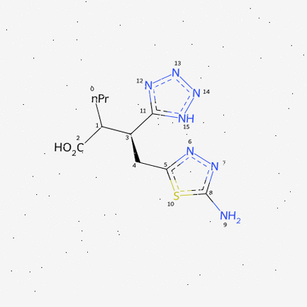 CCCC(C(=O)O)[C@H](Cc1nnc(N)s1)c1nnn[nH]1